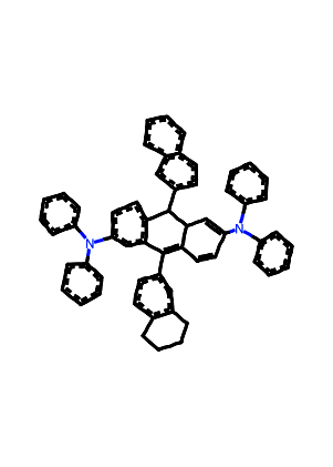 C1=CC2=C(c3ccc4c(c3)CCCC4)c3cc(N(c4ccccc4)c4ccccc4)ccc3C(c3ccc4ccccc4c3)C2C=C1N(c1ccccc1)c1ccccc1